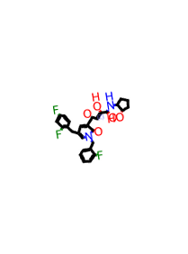 O=C(NC1CCCC1O)/C(O)=C/C(=O)c1cc(Cc2ccc(F)cc2F)cn(Cc2ccccc2F)c1=O